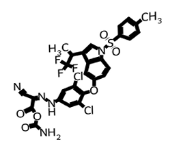 Cc1ccc(S(=O)(=O)n2cc(C(C)C(F)(F)F)c3cc(Oc4c(Cl)cc(NN=C(C#N)C(=O)OC(N)=O)cc4Cl)ccc32)cc1